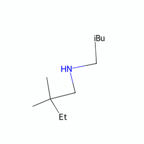 CCC(C)CNCC(C)(C)CC